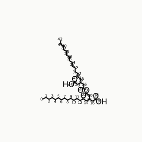 CCCCCCCCCCCCCCCC(CC(=O)O)CC(=O)OC(=O)CC(CCCCCCCCCCCCCCC)CC(=O)O